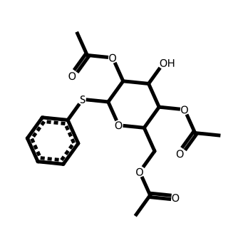 CC(=O)OCC1OC(Sc2ccccc2)C(OC(C)=O)C(O)C1OC(C)=O